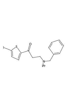 CC(C)N(CCC(=O)c1ccc(I)s1)Cc1ccccc1